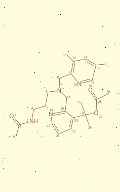 CC(=O)NCCCN(Cc1ncc(C)cc1C)Cc1ncccc1C(C)(C)OC(C)=O